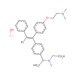 BO.CCC(=C(c1ccc(OCCN(C)C)cc1)c1ccc(C(C(=O)O)N(C)CC(=O)O)cc1)c1ccccc1